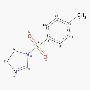 Cc1ccc(S(=O)(=O)N2C=NCC2)cc1